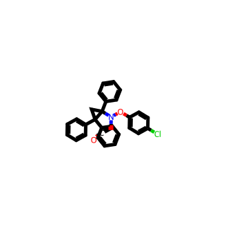 O=C=CN(Oc1ccc(Cl)cc1)C1(c2ccccc2)CC1(c1ccccc1)c1ccccc1